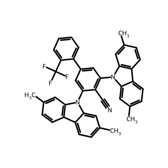 Cc1ccc2c3ccc(C)cc3n(-c3cc(-c4ccccc4C(F)(F)F)cc(-n4c5cc(C)ccc5c5ccc(C)cc54)c3C#N)c2c1